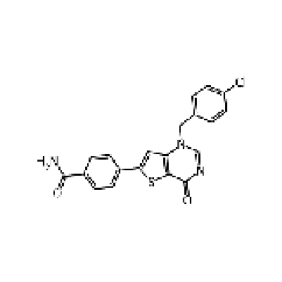 NC(=O)c1ccc(-c2cc3c(s2)c(=O)ncn3Cc2ccc(Cl)cc2)cc1